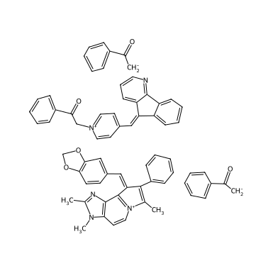 CC1=C(c2ccccc2)C(=Cc2ccc3c(c2)OCO3)c2c3nc(C)n(C)c3cc[n+]21.O=C(C[n+]1ccc(C=C2c3ccccc3-c3ncccc32)cc1)c1ccccc1.[CH2-]C(=O)c1ccccc1.[CH2-]C(=O)c1ccccc1